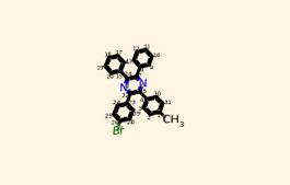 Cc1ccc(-c2nc(-c3ccccc3)c(-c3ccccc3)nc2-c2ccc(Br)cc2)cc1